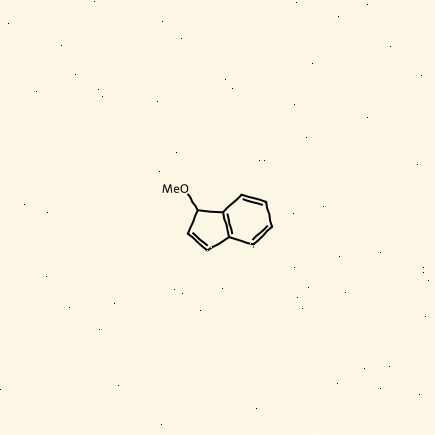 COC1C=Cc2[c]cccc21